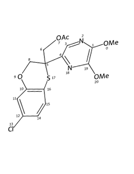 COc1ncc(C2(COC(C)=O)COc3cc(Cl)ccc3S2)nc1OC